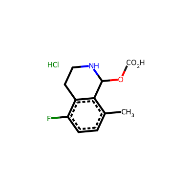 Cc1ccc(F)c2c1C(OC(=O)O)NCC2.Cl